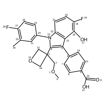 COCC1(c2c(-c3ccc(C(=O)O)cc3)c3c(O)c(F)ccc3n2-c2ccc(F)c(C)c2)COC1